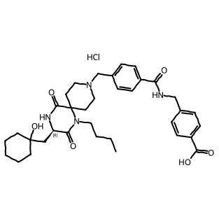 CCCCN1C(=O)[C@@H](CC2(O)CCCCC2)NC(=O)C12CCN(Cc1ccc(C(=O)NCc3ccc(C(=O)O)cc3)cc1)CC2.Cl